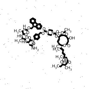 CC[C@H](O)[C@@H](C)[C@H]1O[C@@H]1C[C@@](C)(O)/C=C/C=C(\C)[C@H]1OC(=O)C[C@H](O)CC[C@@](C)(OC(C)=O)[C@@H](OC(=O)N2CCN(C(=O)OCc3ccc(NC(=O)[C@H](CC(N)=O)NC(=O)[C@H](C)NC(=O)[C@H](C)NC(=O)OCC4c5ccccc5-c5ccccc54)cc3)CC2)/C=C/[C@@H]1C